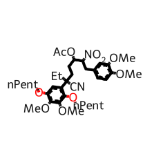 CCCCCOc1cc(C(C#N)(CC)CCC(OC(C)=O)C(Cc2ccc(OC)c(OC)c2)[N+](=O)[O-])c(OCCCCC)c(OC)c1OC